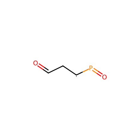 O=CC[CH]P=O